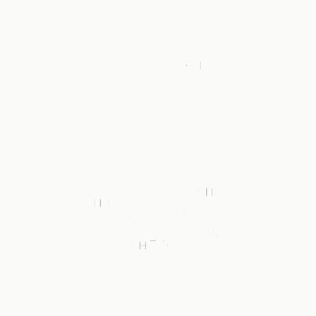 C=C(C)C(c1ccc(CC)cc1)C(C)(C)Cl